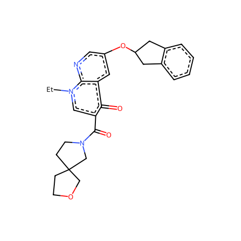 CCn1cc(C(=O)N2CCC3(CCOC3)C2)c(=O)c2cc(OC3Cc4ccccc4C3)cnc21